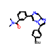 CN(C)C(=O)c1cccc(-c2cn3c(-c4ccc(C(C)(C)C)cc4)cnc3cn2)c1